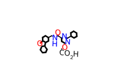 O=C(O)COc1cc(C(=O)NCc2ccc3oc4ccccc4c3c2)nc(-c2ccccc2)n1